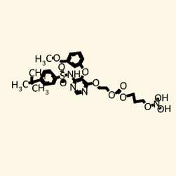 COCc1cccc(Oc2c(NS(=O)(=O)c3ccc(C(C)(C)C)cc3)ncnc2OCCOC(=O)OCCCON(O)O)c1